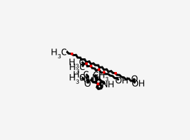 CC(C)CCCCCCCCCCCCCCCO.CCCCCCCCCCCCCCCCCCCCCCCCCCCCCCCC(=O)O.CCN(CC)C(=O)[C@@H]1C=C2c3cccc4[nH]cc(c34)C[C@H]2N(C)C1